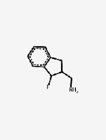 NCC1Cc2ccccc2C1F